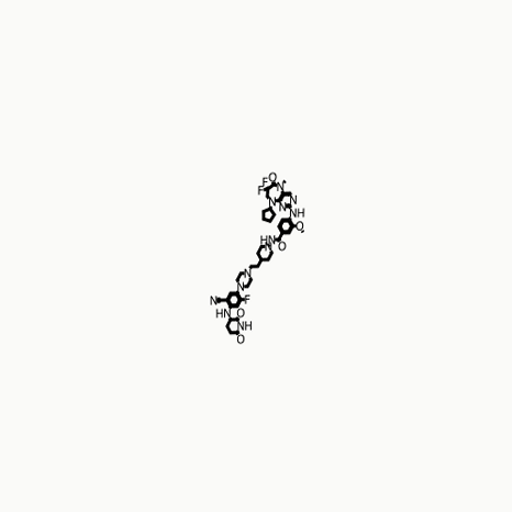 COc1cc(C(=O)NN2CCC(CCN3CCN(c4cc(C#N)c(NC5CCC(=O)NC5=O)cc4F)CC3)CC2)ccc1Nc1ncc2c(n1)N(C1CCCC1)CC(F)(F)C(=O)N2C